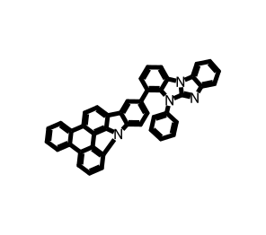 c1ccc(-n2c3c(-c4ccc5c(c4)c4ccc6c7ccccc7c7cccc8c7c6c4n58)cccc3n3c4ccccc4nc23)cc1